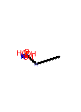 CCCCCCCCCCCCCCC/C=C\CCCCCCCC(O)(C[N+](C)(C)C)P(=O)(O)O